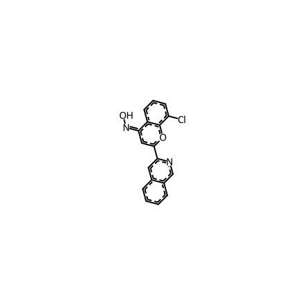 O/N=c1/cc(-c2cc3ccccc3cn2)oc2c(Cl)cccc12